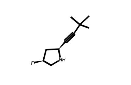 CC(C)(C)C#C[C@@H]1C[C@H](F)CN1